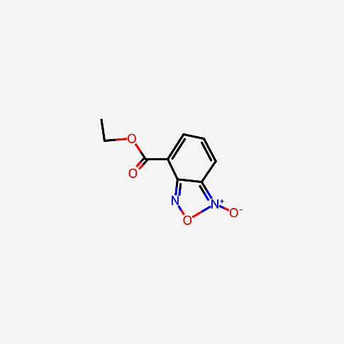 CCOC(=O)c1cccc2c1no[n+]2[O-]